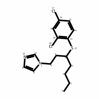 CCCCC(CCn1ccnc1)Sc1ccc(Cl)cc1Cl